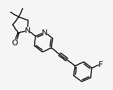 CC1(C)CC(=O)N(c2ccc(C#Cc3cccc(F)c3)cn2)C1